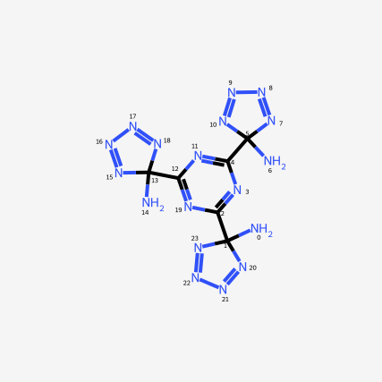 NC1(c2nc(C3(N)N=NN=N3)nc(C3(N)N=NN=N3)n2)N=NN=N1